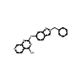 Oc1nc(Oc2ccc3cn(Cc4ccccc4)nc3c2)nc2cnccc12